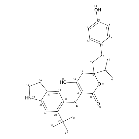 CC(C)C1(CCc2ccc(O)cc2)CC(O)=C(Sc2cc3c(cc2C(C)(C)C)NCC3)C(=O)O1